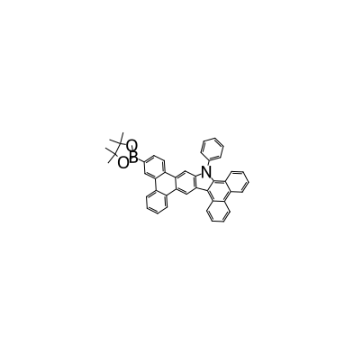 CC1(C)OB(c2ccc3c(c2)c2ccccc2c2cc4c5c6ccccc6c6ccccc6c5n(-c5ccccc5)c4cc32)OC1(C)C